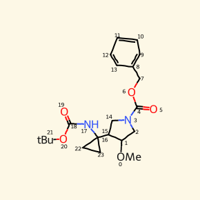 COC1CN(C(=O)OCc2ccccc2)CC1C1(NC(=O)OC(C)(C)C)CC1